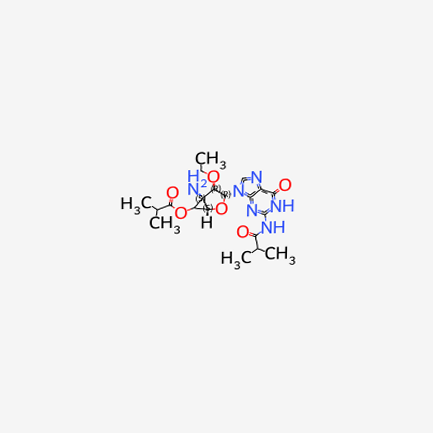 CCO[C@H]1[C@H](n2cnc3c(=O)[nH]c(NC(=O)C(C)C)nc32)O[C@@H]2C(OC(=O)C(C)C)[C@@]21N